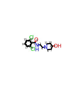 O=C(NCCN1CCC(O)CC1)c1c(Cl)cccc1Cl